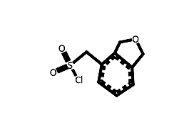 O=S(=O)(Cl)Cc1cccc2c1COC2